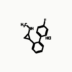 CNC1CC1c1ccccc1-c1ccc(F)cc1.Cl